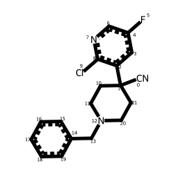 N#CC1(c2cc(F)cnc2Cl)CCN(Cc2ccccc2)CC1